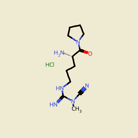 CN(C#N)C(=N)NCCC[C@H](N)C(=O)N1CCCC1.Cl